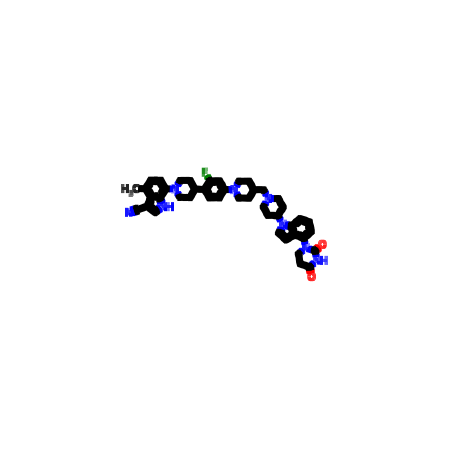 Cc1ccc(N2CCC(c3ccc(N4CCC(CN5CCC(n6ccc7c(N8CCC(=O)NC8=O)cccc76)CC5)CC4)cc3F)CC2)c2[nH]cc(C#N)c12